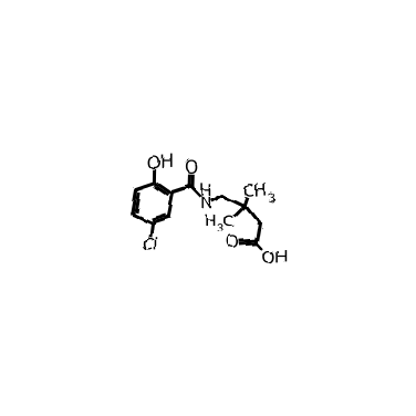 CC(C)(CNC(=O)c1cc(Cl)ccc1O)CC(=O)O